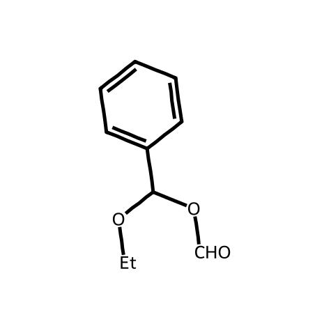 CCOC(OC=O)c1ccccc1